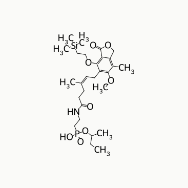 CCC(C)OP(=O)(O)CCNC(=O)CCC(C)=CCc1c(OC)c(C)c2c(c1OCC[Si](C)(C)C)C(=O)OC2